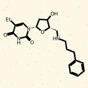 CCc1cn([C@@H]2CC(O)[C@H](CNCCCc3ccccc3)O2)c(=O)[nH]c1=O